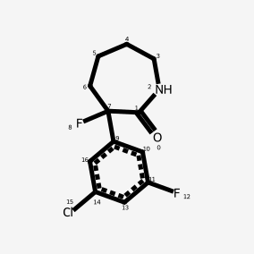 O=C1NCCCCC1(F)c1cc(F)cc(Cl)c1